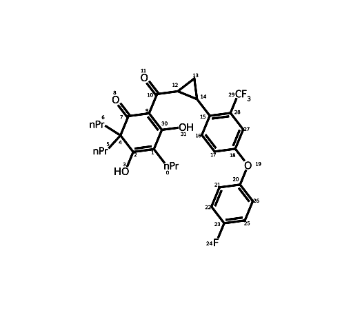 CCCC1=C(O)C(CCC)(CCC)C(=O)C(C(=O)C2CC2c2ccc(Oc3ccc(F)cc3)cc2C(F)(F)F)=C1O